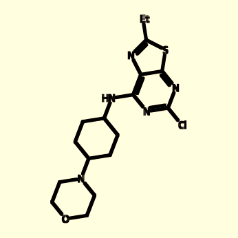 CCc1nc2c(NC3CCC(N4CCOCC4)CC3)nc(Cl)nc2s1